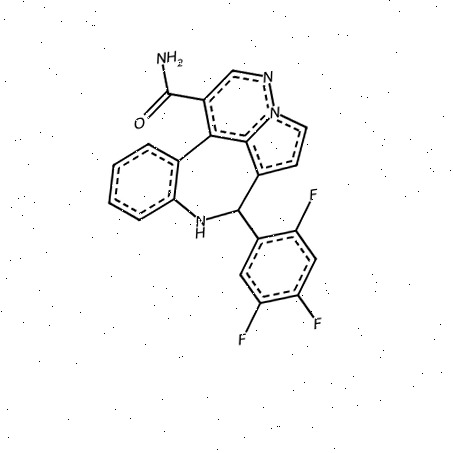 NC(=O)c1cnn2ccc3c2c1-c1ccccc1NC3c1cc(F)c(F)cc1F